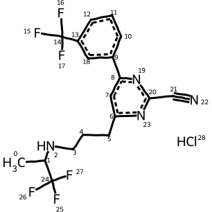 CC(NCCCc1cc(-c2cccc(C(F)(F)F)c2)nc(C#N)n1)C(F)(F)F.Cl